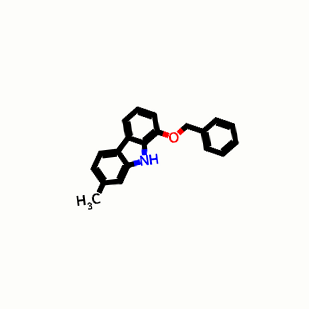 Cc1ccc2c(c1)[nH]c1c(OCc3ccccc3)cccc12